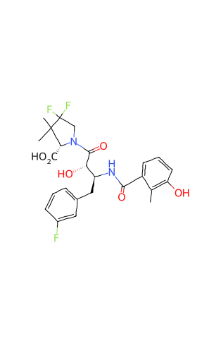 Cc1c(O)cccc1C(=O)N[C@@H](Cc1cccc(F)c1)[C@H](O)C(=O)N1CC(F)(F)C(C)(C)[C@H]1C(=O)O